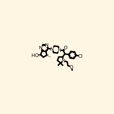 COCCN1C(C(C(=O)N2CCN(c3ncnc4c3[C@H](C)C[C@H]4O)CC2)c2ccc(Cl)cc2)CCC1(C)C